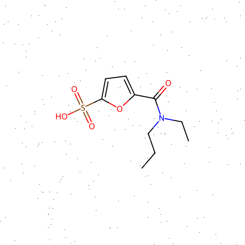 CCCN(CC)C(=O)c1ccc(S(=O)(=O)O)o1